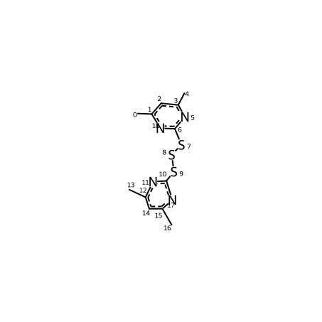 Cc1cc(C)nc(SSSc2nc(C)cc(C)n2)n1